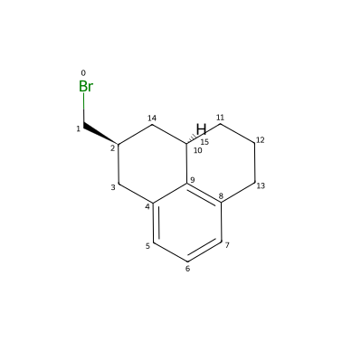 BrC[C@@H]1Cc2cccc3c2[C@H](CCC3)C1